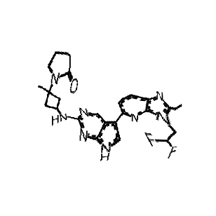 Cc1nc2ccc(-c3c[nH]c4nc(NC5CC(C)(N6CCCC6=O)C5)ncc34)nc2n1CC(F)F